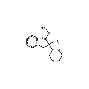 CSC(=O)C(C)(Cc1ccccc1)C1CNCCO1